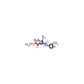 CCOC(=O)C(=O)c1cc(C(=O)Nc2ccc(F)c(C)c2)c(C)n1C